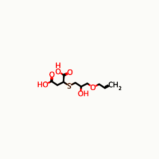 C=CCOCC(O)CSC(CC(=O)O)C(=O)O